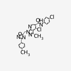 Cc1ccc(-c2noc(Cn3nc(C)c4c(Cl)c(C(=O)Nc5ccc(Cl)cc5)cnc43)n2)cc1